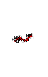 O=C1CCC(NC(=O)c2ccc(N3CCC(CN4CCN(C(=O)Cc5ccc(Nc6ncc(F)c(Nc7ccc(C(=O)Nc8ccccc8Cl)cc7)n6)cc5)CC4)CC3)cc2)C(=O)N1